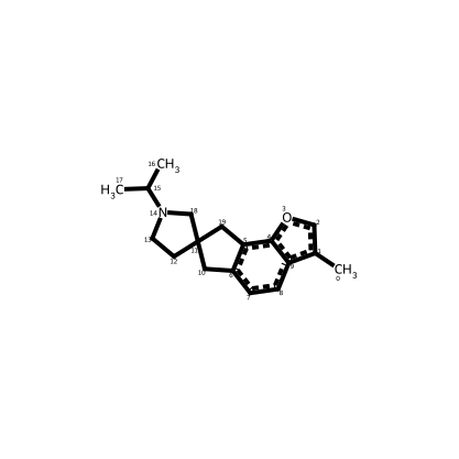 Cc1coc2c3c(ccc12)CC1(CCN(C(C)C)C1)C3